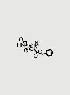 [N-]=[N+]=C(CS(=O)(=O)[C@@H]1CC(=O)N1)C(=O)OCc1ccccc1